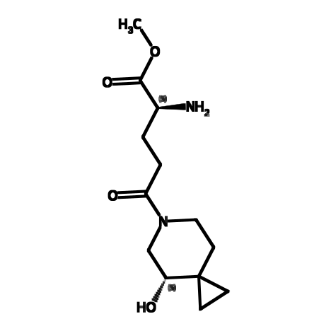 COC(=O)[C@@H](N)CCC(=O)N1CCC2(CC2)[C@H](O)C1